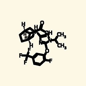 CC(C)n1nc(NC2[C@@H]3CC[C@H]2CN(C(=O)O)C3)nc1Oc1cc(C(F)(F)F)ccc1F